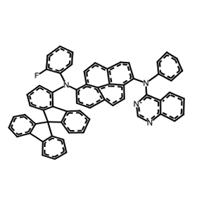 Fc1ccccc1N(c1cccc2c1-c1ccccc1C21c2ccccc2-c2ccccc21)c1ccc2ccc3c(N(c4ccccc4)c4ncnc5ccccc45)ccc4ccc1c2c43